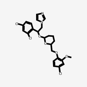 COc1cc(Cl)ccc1OCC1CCCC(OC(Cn2ccnc2)c2ccc(Cl)cc2Cl)O1